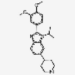 COc1ccc(-c2nc3ccc(C4CCNCC4)cc3n2C(C)C)cc1OC